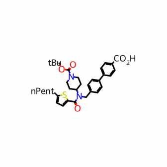 CCCCCc1ccc(C(=O)N(Cc2ccc(-c3ccc(C(=O)O)cc3)cc2)C2CCN(C(=O)OC(C)(C)C)CC2)s1